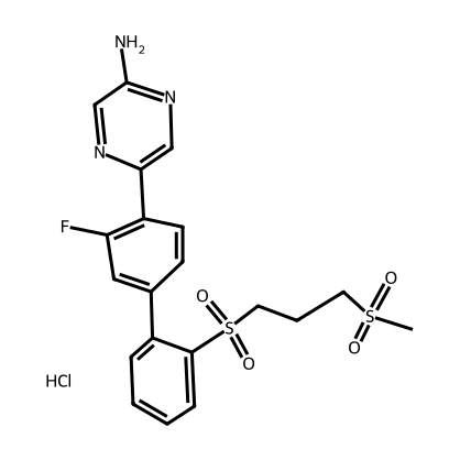 CS(=O)(=O)CCCS(=O)(=O)c1ccccc1-c1ccc(-c2cnc(N)cn2)c(F)c1.Cl